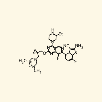 CCC1CN(c2nc(OCC3(CN4C[C@@H](C)O[C@H](C)C4)CC3)nc3c(F)c(C4=CC=C(F)C5SC(N)=C(C#N)C45)ncc23)CCN1